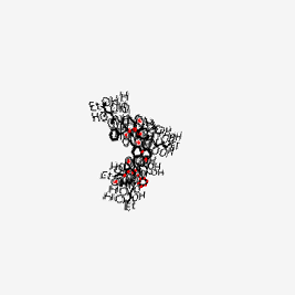 CC[C@@H](O)[C@H](O)[C@H](O)C(=O)NO[C@@]1(Cc2ccccc2)O[C@H](CO)[C@@H](O)[C@H](O)[C@@]1(O)N(C(=O)c1cccc(C(=O)N([C@]2(O)[C@@H](O)[C@H](O)[C@@H](CO)O[C@]2(Cc2ccccc2)ONC(=O)[C@@H](O)[C@@H](O)[C@H](O)CC)[C@]2(O)[C@@H](O)[C@H](O)[C@@H](CO)O[C@]2(Cc2ccccc2)ONC(=O)[C@@H](O)[C@@H](O)[C@H](O)CC)c1)[C@]1(O)[C@@H](O)[C@H](O)[C@@H](CO)O[C@]1(Cc1ccccc1)ONC(=O)[C@@H](O)[C@@H](O)[C@H](O)CC